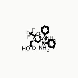 NN(c1ccccc1)P(=S)(CN(CC(=O)O)C(=O)C(F)(F)F)N(N)c1ccccc1